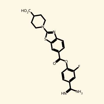 N=C(N)c1ccc(OC(=O)c2ccc3nc(N4CCC(C(=O)O)CC4)sc3c2)c(F)c1